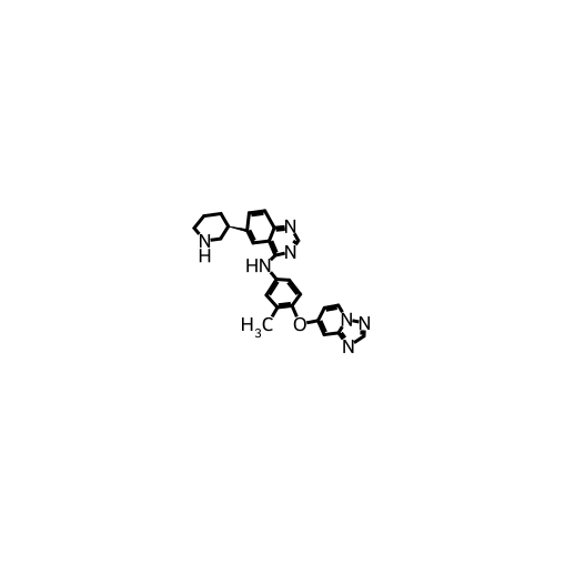 Cc1cc(Nc2ncnc3ccc([C@@H]4CCCNC4)cc23)ccc1Oc1ccn2ncnc2c1